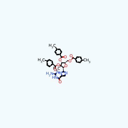 Cc1ccc(C(=O)OC[C@H]2O[C@@H](c3ncc4c(=O)[nH]c(N)nn34)[C@](C)(OC(=O)c3ccc(C)cc3)[C@@H]2OC(=O)c2ccc(C)cc2)cc1